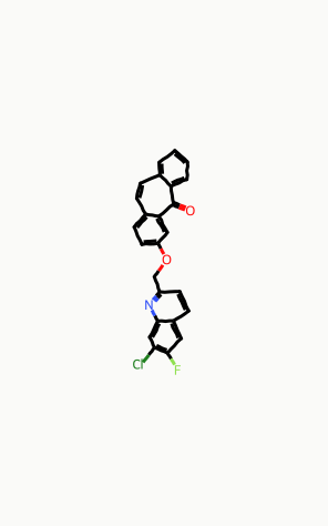 O=c1c2ccccc2ccc2ccc(OCc3ccc4cc(F)c(Cl)cc4n3)cc12